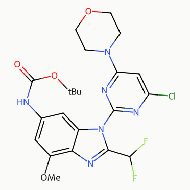 COc1cc(NC(=O)OC(C)(C)C)cc2c1nc(C(F)F)n2-c1nc(Cl)cc(N2CCOCC2)n1